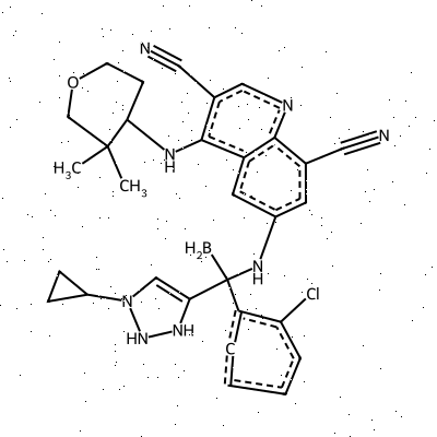 BC(Nc1cc(C#N)c2ncc(C#N)c(NC3CCOCC3(C)C)c2c1)(C1=CN(C2CC2)NN1)c1ccccc1Cl